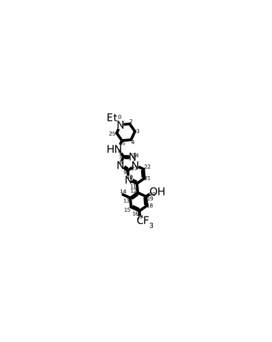 CCN1CCCC(Nc2nc3nc(-c4c(C)cc(C(F)(F)F)cc4O)ccn3n2)C1